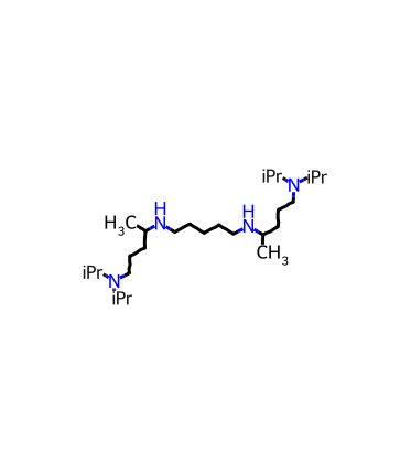 CC(CCCN(C(C)C)C(C)C)NCCCCCNC(C)CCCN(C(C)C)C(C)C